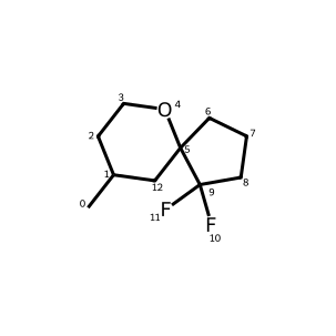 CC1CCOC2(CCCC2(F)F)C1